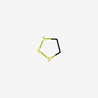 C1CSSS1